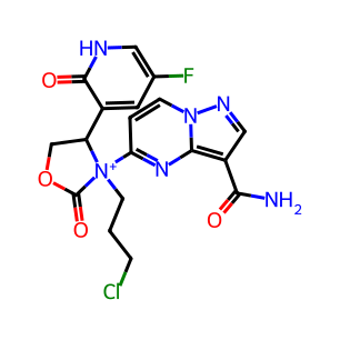 NC(=O)c1cnn2ccc([N+]3(CCCCl)C(=O)OCC3c3cc(F)c[nH]c3=O)nc12